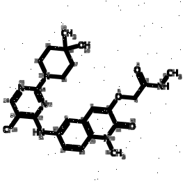 CNC(=O)COc1cc2cc(Nc3nc(N4CCC(C)(O)CC4)ncc3Cl)ccc2n(C)c1=O